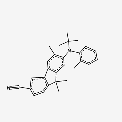 Cc1ccccc1N(c1cc2c(cc1C)-c1cc(C#N)ccc1C2(C)C)C(C)(C)C